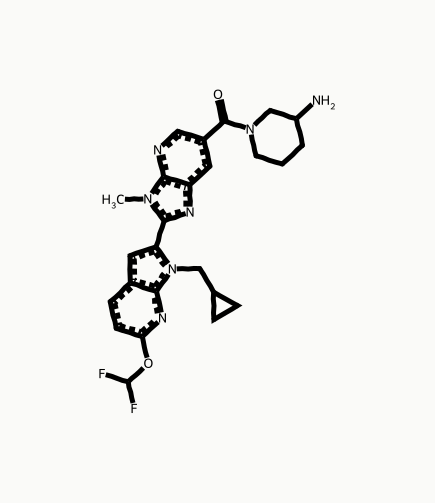 Cn1c(-c2cc3ccc(OC(F)F)nc3n2CC2CC2)nc2cc(C(=O)N3CCCC(N)C3)cnc21